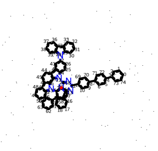 c1ccc(-c2ccc(-c3ccc(-c4nc(-c5ccccc5)nc(-n5c6ccc(-n7c8ccccc8c8ccccc87)cc6c6ccc7c8ccccc8n(-c8ccccc8-c8ccccc8)c7c65)n4)cc3)cc2)cc1